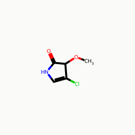 COC1C(=O)NC=C1Cl